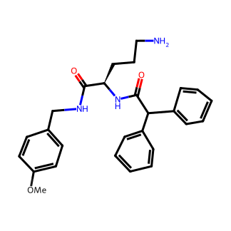 COc1ccc(CNC(=O)[C@@H](CCCN)NC(=O)C(c2ccccc2)c2ccccc2)cc1